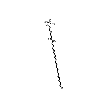 CCC=CCC=CCC=CCC=CCC=CCC=CCCC(=O)NCCOCCNP(=O)(O)O